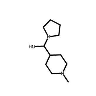 CN1CCC(C(O)N2CCCC2)CC1